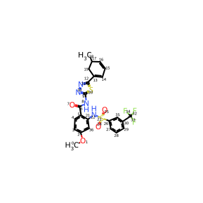 COc1ccc(C(=O)Nc2nnc(C3=CC=CC(C)C3)s2)c(NS(=O)(=O)c2cccc(C(F)(F)F)c2)c1